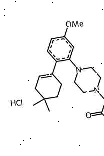 CCC(=O)CN1CCN(c2cc(OC)ccc2C2=CCC(C)(C)CC2)CC1.Cl